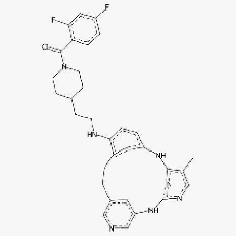 Cc1cnc2nc1Nc1ccc(NCCC3CCN(C(=O)c4ccc(F)cc4F)CC3)c(c1)CCc1cncc(c1)N2